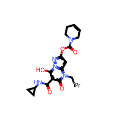 CC(C)Cn1c(=O)c(C(=O)NC2CC2)c(O)n2nc(OC(=O)N3CC=CCC3)cc12